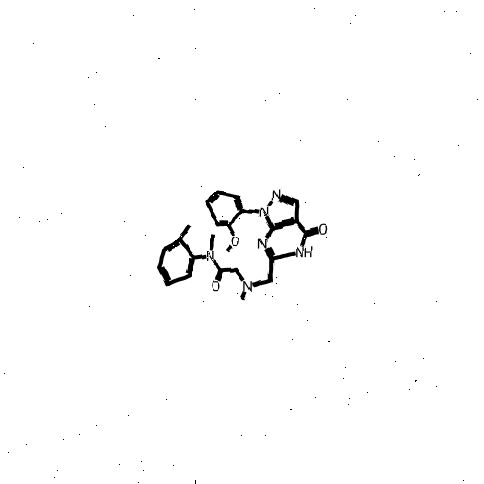 COc1ccccc1-n1ncc2c(=O)[nH]c(CN(C)CC(=O)N(C)c3ccccc3C)nc21